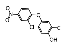 O=[N+]([O-])c1ccc(Oc2ccc(O)c(Cl)c2)c(Cl)c1